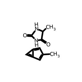 CC1NC(=O)NC1=O.Cc1cc2cc-2c1